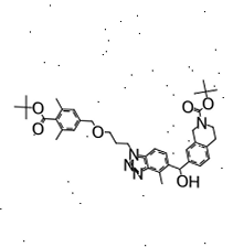 Cc1cc(COCCCn2nnc3c(C)c(C(O)c4ccc5c(c4)CN(C(=O)OC(C)(C)C)CC5)ccc32)cc(C)c1C(=O)OC(C)(C)C